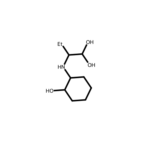 CCC(NC1CCCCC1O)C(O)O